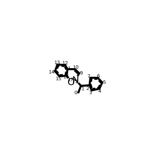 CC(c1ccccc1)N1C=Cc2ccccc2O1